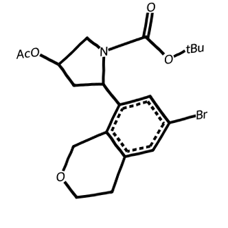 CC(=O)OC1CC(c2cc(Br)cc3c2COCC3)N(C(=O)OC(C)(C)C)C1